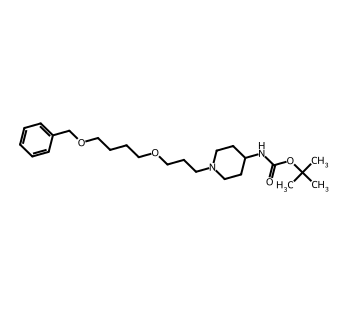 CC(C)(C)OC(=O)NC1CCN(CCCOCCCCOCc2ccccc2)CC1